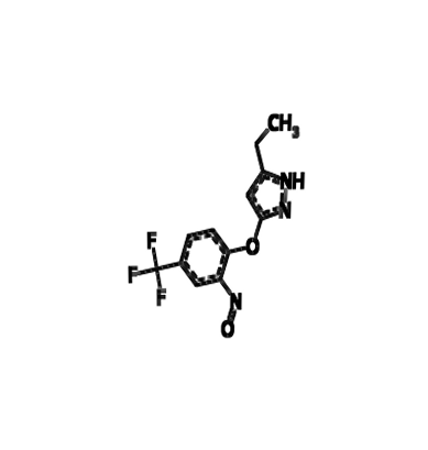 CCc1cc(Oc2ccc(C(F)(F)F)cc2N=O)n[nH]1